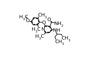 CCC(CC)Nc1cc(C)nc(Oc2c(C)cc(OC)cc2C)c1C(N)=O